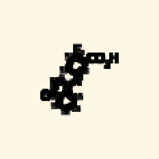 O=C(O)c1cc(Cn2cnc(=O)c3ccccc32)ccc1F